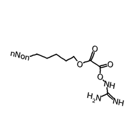 CCCCCCCCCCCCCCOC(=O)C(=O)ONC(=N)N